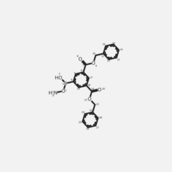 NOB(O)c1cc(C(=O)OCc2ccccc2)cc(C(=O)OCc2ccccc2)c1